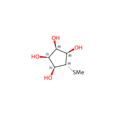 CS[C@H]1[C@H](O)[C@H](O)[C@H](O)[C@@H]1O